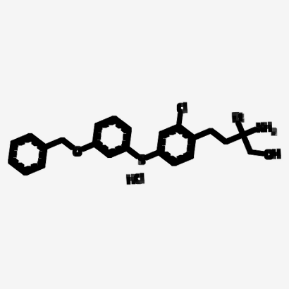 CCC(N)(CO)CCc1ccc(Sc2cccc(OCc3ccccc3)c2)cc1Cl.Cl